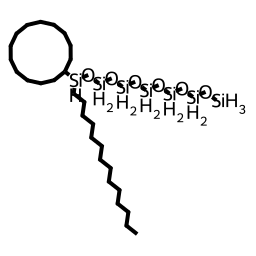 CCCCCCCCCCCCCC[SiH](O[SiH2]O[SiH2]O[SiH2]O[SiH2]O[SiH2]O[SiH3])C1CCCCCCCCCCCCC1